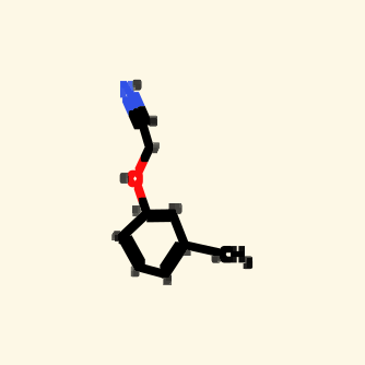 Cc1cc[c]c(OCC#N)c1